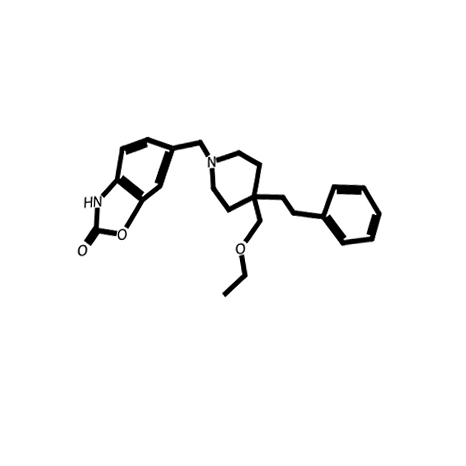 CCOCC1(CCc2ccccc2)CCN(Cc2ccc3[nH]c(=O)oc3c2)CC1